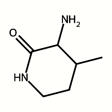 CC1CCNC(=O)C1N